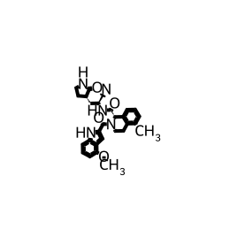 COc1cccc2[nH]c(C(=O)N3CCc4c(C)cccc4[C@H]3C(=O)N[C@H](C#N)C[C@@H]3CCNC3=O)cc12